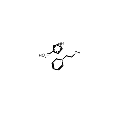 O=C(O)c1cc[nH]c1.OCCN1C=CC=CC1